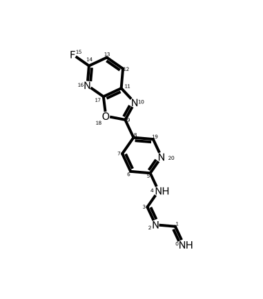 N=C/N=C\Nc1ccc(-c2nc3ccc(F)nc3o2)cn1